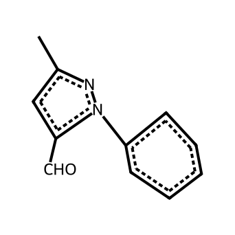 Cc1cc(C=O)n(-c2ccccc2)n1